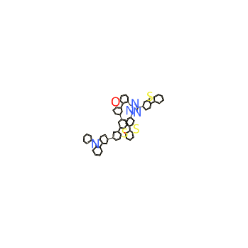 c1ccc(-n2c3ccccc3c3cc(-c4ccc5sc6ccc(-c7ccc8oc9cccc(-c%10nc(-c%11ccc%12c(c%11)sc%11ccccc%11%12)nc(-c%11ccc%12c(c%11)sc%11ccccc%11%12)n%10)c9c8c7)cc6c5c4)ccc32)cc1